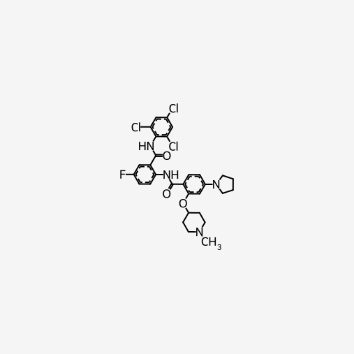 CN1CCC(Oc2cc(N3CCCC3)ccc2C(=O)Nc2ccc(F)cc2C(=O)Nc2c(Cl)cc(Cl)cc2Cl)CC1